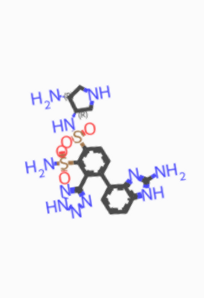 Nc1nc2c(-c3ccc(S(=O)(=O)N[C@@H]4CNC[C@H]4N)c(S(N)(=O)=O)c3-c3nn[nH]n3)cccc2[nH]1